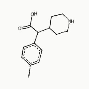 O=C(O)C(c1ccc(F)cc1)C1CCNCC1